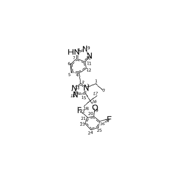 CCn1c(-c2ccc3[nH]nnc3c2)nnc1C(C)(C)Oc1c(F)cccc1F